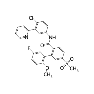 COc1ccc(F)cc1-c1cc(S(C)(=O)=O)ccc1C(=O)Nc1ccc(Cl)c(-c2ccccn2)c1